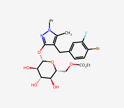 CCOC(=O)OC[C@H]1O[C@@H](Oc2nn(C(C)C)c(C)c2Cc2ccc(Br)c(F)c2)[C@H](O)[C@@H](O)[C@@H]1O